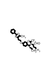 C=CC[C@@H](C=O)N(C(=O)C(F)(F)F)[C@@H](CC=C)c1ccc(OCCc2nc(-c3ccccc3)oc2C)cc1